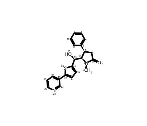 CN1C(=O)C[C@H](c2ccccc2)[C@@H]1[C@H](O)c1ccc(-c2cccnc2)s1